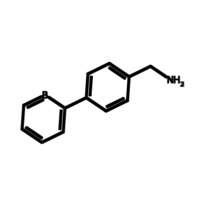 NCc1ccc(-c2bcccc2)cc1